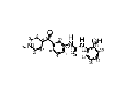 CN1CCC(C(=O)c2cccc(NC(=S)Nc3ccccc3O)c2)CC1